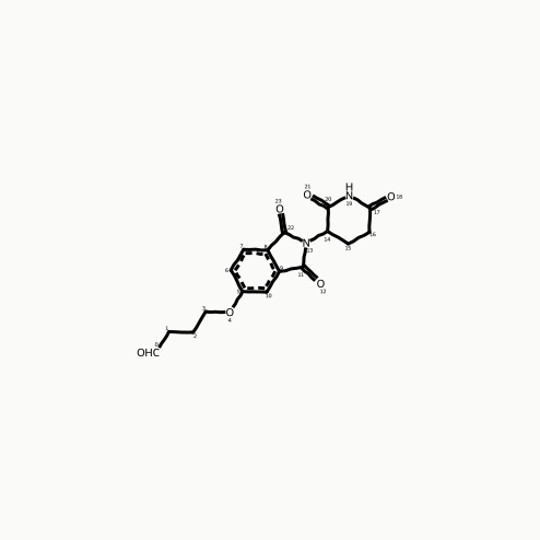 O=CCCCOc1ccc2c(c1)C(=O)N(C1CCC(=O)NC1=O)C2=O